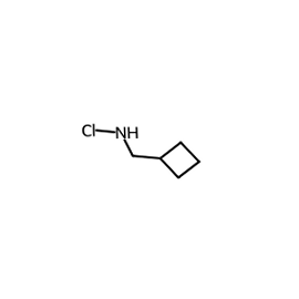 ClNCC1CCC1